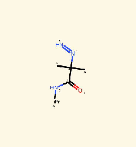 CC(C)NC(=O)C(C)(C)N=N